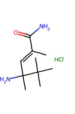 CC(=CC(C)(N)C(C)(C)C)C(N)=O.Cl